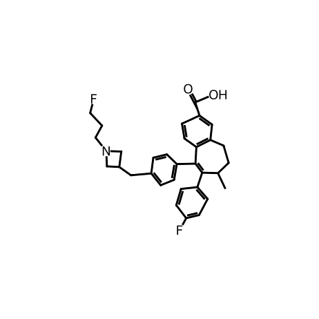 CC1CCc2cc(C(=O)O)ccc2C(c2ccc(CC3CN(CCCF)C3)cc2)=C1c1ccc(F)cc1